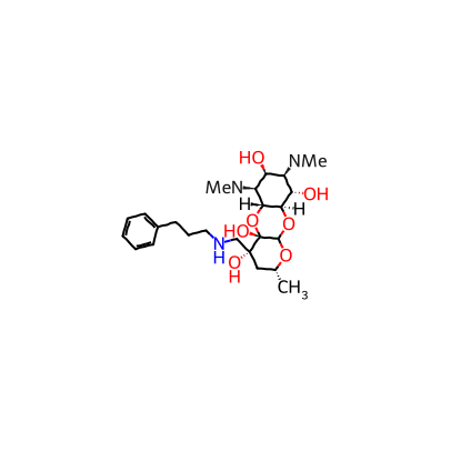 CN[C@@H]1[C@H](O)[C@H](NC)[C@H]2O[C@]3(O)C(O[C@@H]2[C@H]1O)O[C@H](C)C[C@@]3(O)CNCCCc1ccccc1